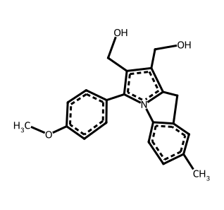 COc1ccc(-c2c(CO)c(CO)c3n2-c2ccc(C)cc2C3)cc1